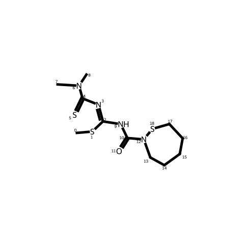 CSC(=NC(=S)N(C)C)NC(=O)N1CCCCCS1